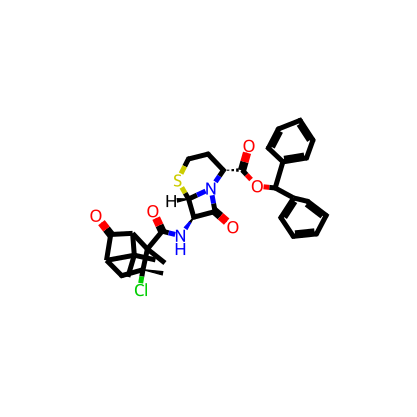 CC1(C)C2C[C@@](C)(Cl)C(C)(C(=O)N[C@@H]3C(=O)N4[C@@H](C(=O)OC(c5ccccc5)c5ccccc5)CCS[C@@H]34)C1C2=O